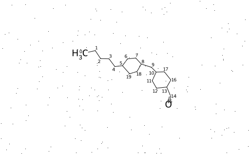 CCCCCC1CCC(CC2CCC(C=O)CC2)CC1